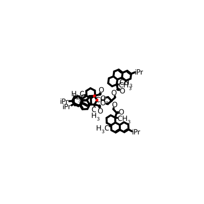 CC(C)C1=CC2=CCC3(C)CCCC(C)(C(=O)COC(COC(=O)C4(C)CCCC5CC=C6C=C(C(C)C)CCC6(C)C54)(COC(=O)C4(C)CCCC5(C)C6CCC(C(C)C)=CC6=CCC45)COC(=O)C4(C)CCCC5(C)C6CCC(C(C)C)=CC6=CCC45)C3C2CC1